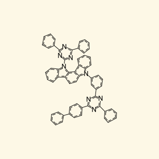 c1ccc(-c2ccc(-c3nc(-c4ccccc4)nc(-c4cccc(-n5c6ccccc6c6c5ccc5c7ccccc7n(-c7nc(-c8ccccc8)nc(-c8ccccc8)n7)c56)c4)n3)cc2)cc1